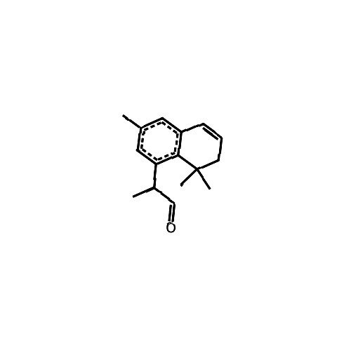 Cc1cc2c(c(C(C)C=O)c1)C(C)(C)CC=C2